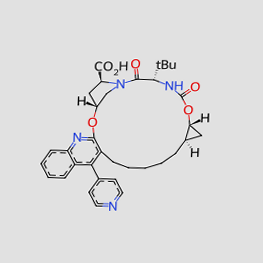 CC(C)(C)[C@@H]1NC(=O)O[C@@H]2C[C@H]2CCCCCc2c(nc3ccccc3c2-c2ccncc2)O[C@@H]2C[C@@H](C(=O)O)N(C2)C1=O